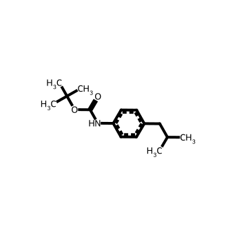 CC(C)Cc1ccc(NC(=O)OC(C)(C)C)cc1